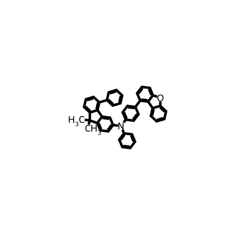 CC1(C)c2ccc(N(c3ccccc3)c3ccc(-c4cccc5oc6ccccc6c45)cc3)cc2-c2c(-c3ccccc3)cccc21